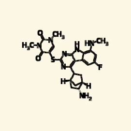 CNc1cc(F)cc2c1[nH]c1nc(Sc3cn(C)c(=O)n(C)c3=O)nc(C3C[C@H]4C[C@@H]3C[C@H]4N)c12